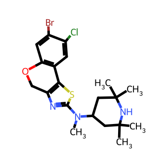 CN(c1nc2c(s1)-c1cc(Cl)c(Br)cc1OC2)C1CC(C)(C)NC(C)(C)C1